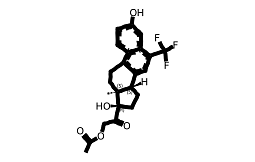 CC(=O)OCC(=O)[C@@]1(O)CC[C@H]2c3cc(C(F)(F)F)c4cc(O)ccc4c3CC[C@@]21C